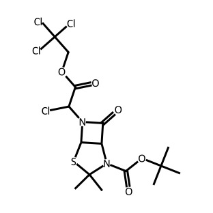 CC(C)(C)OC(=O)N1C2C(=O)N(C(Cl)C(=O)OCC(Cl)(Cl)Cl)C2SC1(C)C